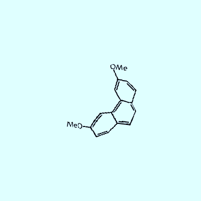 COc1ccc2ccc3ccc(OC)cc3c2c1